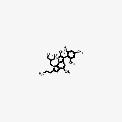 CCCc1cc2c(C)nc3c(-c4c(C)cc(C)cc4C)c(C)nn3c2n1CC(CC)CC